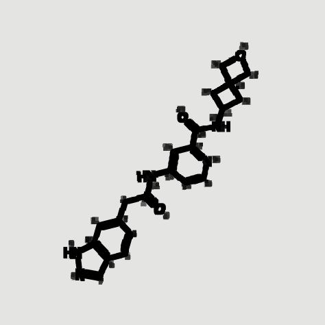 O=C(Cc1ccc2cn[nH]c2c1)Nc1ccnc(C(=O)NC2CC3(COC3)C2)c1